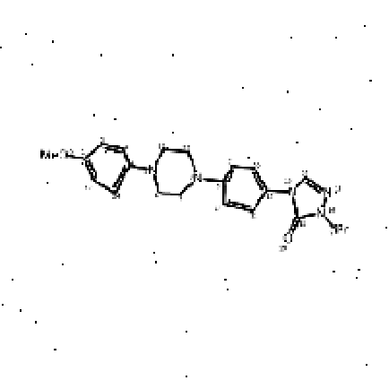 COc1ccc(N2CCN(c3ccc(-n4cnn(C(C)C)c4=O)cc3)CC2)cc1